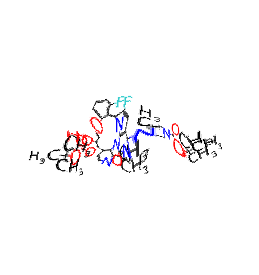 CC(C)c1nccc2c1-n1c(=O)nc(N3CCN(C(=O)OC(C)(C)C)C[C@@H]3C)c3cc(F)c(nc31)-c1c(F)cccc1OCC(O)C2OC(=O)OC(C)(C)C